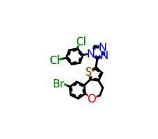 Clc1ccc(-n2cnnc2-c2cc3c(s2)-c2cc(Br)ccc2OCC3)c(Cl)c1